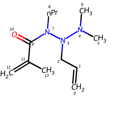 C=CCN(N(C)C)N(CCC)C(=O)C(=C)C